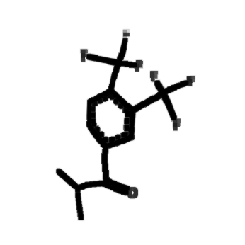 CC(C)C(=O)c1ccc(C(F)(F)F)c(C(F)(F)F)c1